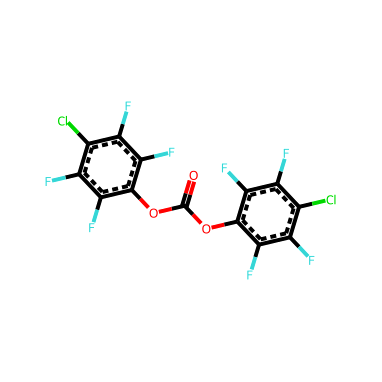 O=C(Oc1c(F)c(F)c(Cl)c(F)c1F)Oc1c(F)c(F)c(Cl)c(F)c1F